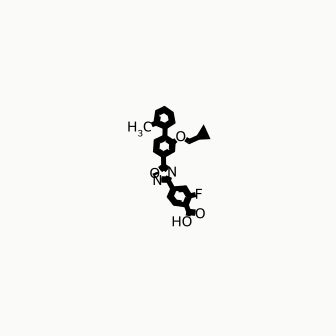 Cc1ccccc1-c1ccc(-c2nc(-c3ccc(C(=O)O)c(F)c3)no2)cc1OCC1CC1